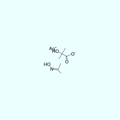 CC(C)(O)C(=O)[O-].CC(C)=NO.[Ag+]